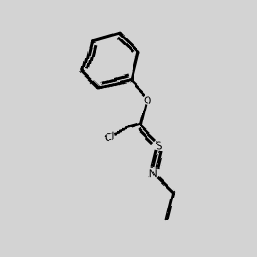 CCN=S=C(Cl)Oc1ccccc1